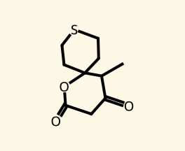 CC1C(=O)CC(=O)OC12CCSCC2